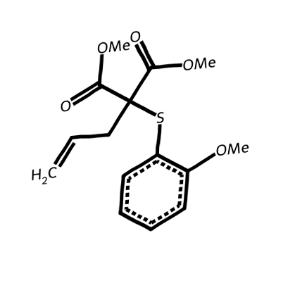 C=CCC(Sc1ccccc1OC)(C(=O)OC)C(=O)OC